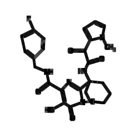 Cn1cccc1C(=O)C(=O)NC12CCC(CC1)Cn1c2nc(C(=O)NCc2ccc(F)cc2)c(O)c1=O